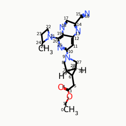 CCOC(=O)CC1[C@H]2CN(c3cc4nc(C#N)cnc4c(N4CCC4C)n3)C[C@@H]12